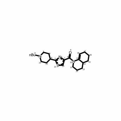 CCCCN1CCC(c2nc(C(=O)N3CCCC4CCCC=C43)cs2)CC1